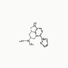 CCCN(CCC)C1Cc2c(-n3cccn3)ccc3c2C(CN3)C1